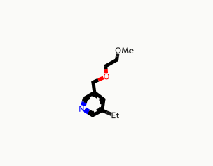 CCc1cncc(COCCOC)c1